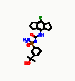 CC(C)(O)c1cccc(S(N)(=O)=NC(=O)Nc2c3c(c(F)c4c2CCC4)CCC3)c1